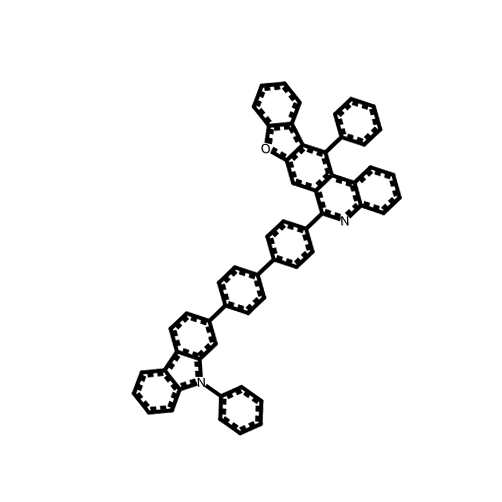 c1ccc(-c2c3c(cc4c(-c5ccc(-c6ccc(-c7ccc8c9ccccc9n(-c9ccccc9)c8c7)cc6)cc5)nc5ccccc5c24)oc2ccccc23)cc1